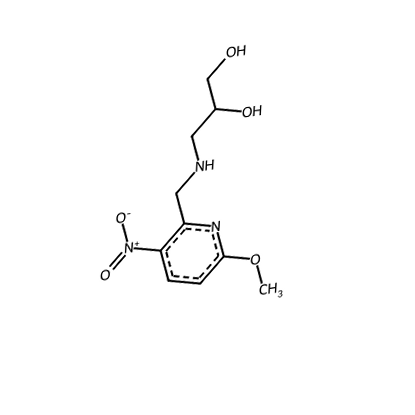 COc1ccc([N+](=O)[O-])c(CNCC(O)CO)n1